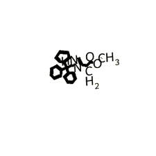 C=C(C(=O)OC)c1c[nH]c(C(c2ccccc2)(c2ccccc2)c2ccccc2)n1